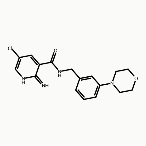 N=c1[nH]cc(Cl)cc1C(=O)NCc1cccc(N2CCOCC2)c1